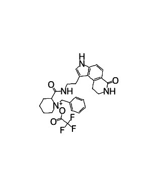 O=C1NCCc2c1ccc1[nH]cc(CCNC(=O)C3CCCC[N+]3(Cc3ccccc3)OC(=O)C(F)(F)F)c21